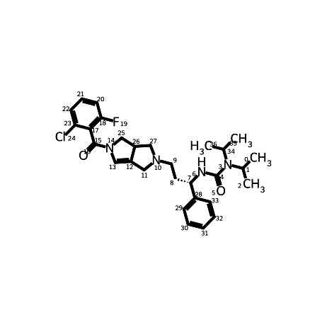 CC(C)N(C(=O)N[C@@H](CCN1CC2=CN(C(=O)c3c(F)cccc3Cl)CC2C1)c1ccccc1)C(C)C